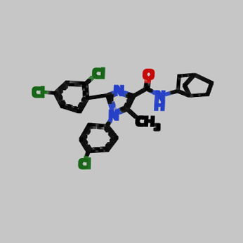 Cc1c(C(=O)NC2CC3CCC2C3)nc(-c2ccc(Cl)cc2Cl)n1-c1ccc(Cl)cc1